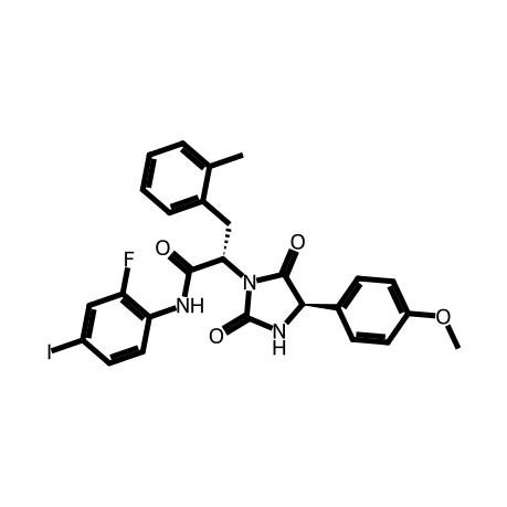 COc1ccc([C@H]2NC(=O)N([C@@H](Cc3ccccc3C)C(=O)Nc3ccc(I)cc3F)C2=O)cc1